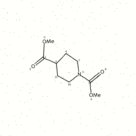 COC(=O)C1CCN(C(=O)OC)CC1